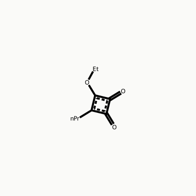 CCCc1c(OCC)c(=O)c1=O